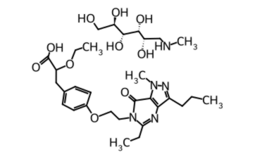 CCCc1nn(C)c2c(=O)n(CCOc3ccc(CC(OCC)C(=O)O)cc3)c(CC)nc12.CNC[C@H](O)[C@@H](O)[C@H](O)[C@H](O)CO